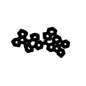 c1ccc(-c2c3c4ccccc4c4ccccc4c3n3cccc(-c4ccc(N(c5ccc6c(c5)C(c5ccccc5)(c5ccccc5)c5ccccc5-6)c5ccc6ccccc6c5)cc4)c23)cc1